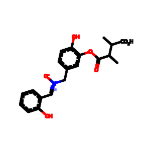 CC(C(=O)O)C(C)C(=O)Oc1cc(C/[N+]([O-])=C/c2ccccc2O)ccc1O